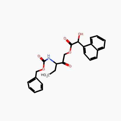 O=C(O)CC(NC(=O)OCc1ccccc1)C(=O)COC(=O)C(O)c1cccc2ccccc12